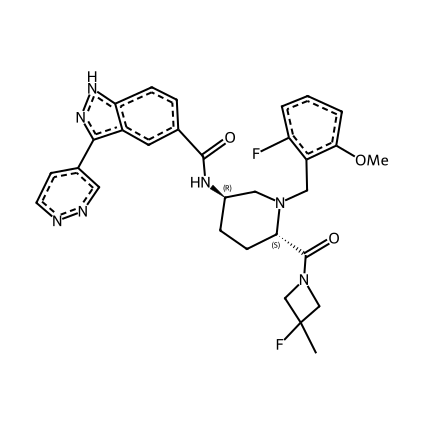 COc1cccc(F)c1CN1C[C@H](NC(=O)c2ccc3[nH]nc(-c4ccnnc4)c3c2)CC[C@H]1C(=O)N1CC(C)(F)C1